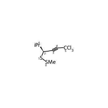 CSS[C@H](C#CC(Cl)(Cl)Cl)C(C)C